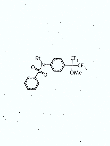 CCN(c1ccc(C(OC)(C(F)(F)F)C(F)(F)F)cc1)S(=O)(=O)c1ccccc1